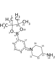 CC1(C)OB(c2cccc(N3CCC(N)CC3)c2)OC1(C)C